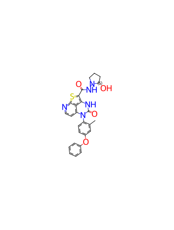 Cc1cc(Oc2ccccc2)ccc1N1C(=O)Nc2c(C(=O)NN3CCC[C@@H]3O)sc3nccc1c23